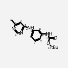 Cc1cc(Nc2cccc(NC(=O)OC(C)(C)C)c2)ncn1